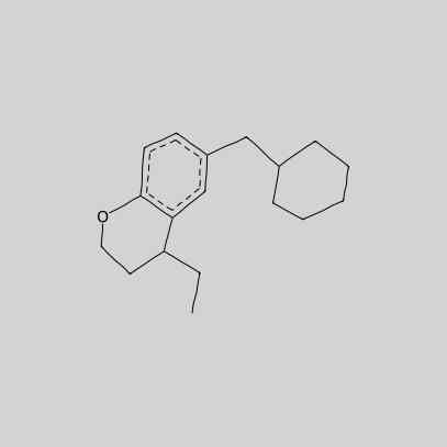 CCC1CCOc2ccc(CC3CCCCC3)cc21